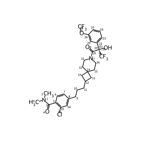 CN(C)C(=O)c1ccc(CCCC2CC3(CCN(C(=O)[C@@](O)(c4cccc(OC(F)(F)F)c4)C(F)(F)F)CC3)C2)cc1Cl